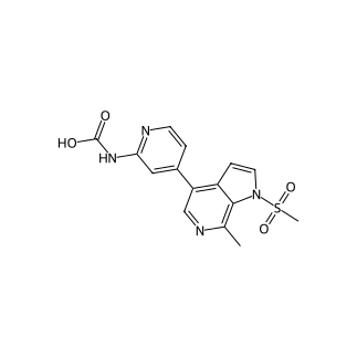 Cc1ncc(-c2ccnc(NC(=O)O)c2)c2ccn(S(C)(=O)=O)c12